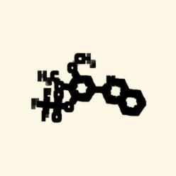 COc1cc(-c2cc3ccccc3cn2)cc(OS(=O)(=O)C(F)(F)F)c1OC